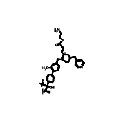 Cc1cc(CN2CCN(Cc3ccncc3)C[C@@H]2CCC(=O)OCCN)ccc1-c1ccc(C(O)(C(F)(F)F)C(F)(F)F)cc1